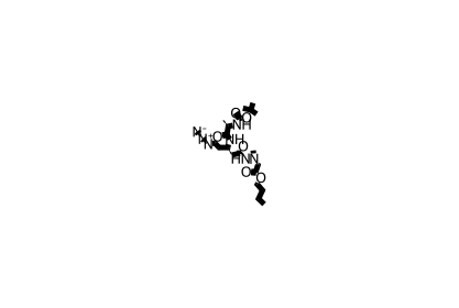 CCCCOC(=O)CN(C)NC(=O)C[C@H](CCN=[N+]=[N-])NC(=O)[C@H](C)NC(=O)OC(C)(C)C